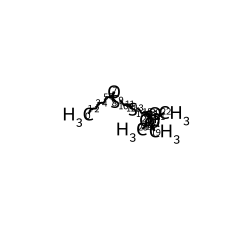 CCCCCCC(=O)SCCCSCCC[Si](OCC)(OCC)OCC